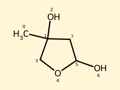 CC1(O)COC(O)C1